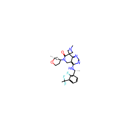 C[C@@H]1CC(N2Cc3c(N[C@H](C)c4cccc(C(C)(F)F)c4F)ncnc3C3(CN(C)C3)C2=O)CCO1